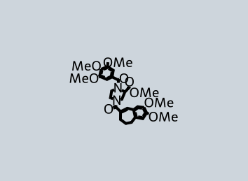 COC(=O)C1CN(C(=O)C2=Cc3cc(OC)c(OC)cc3CCC2)CCN1C(=O)c1cc(OC)c(OC)c(OC)c1